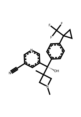 CN1CC(C)([C@](O)(c2ccc(C3(C(F)(F)F)CC3)cc2)c2cncc(C#N)c2)C1